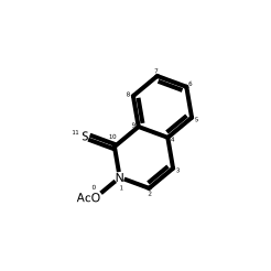 CC(=O)On1ccc2ccccc2c1=S